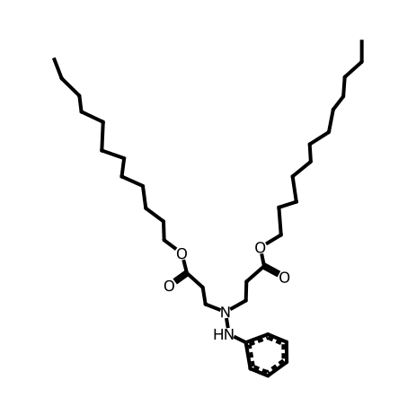 CCCCCCCCCCCCOC(=O)CCN(CCC(=O)OCCCCCCCCCCCC)Nc1ccccc1